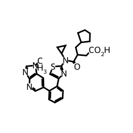 Cn1cnc2ncc(-c3ccccc3-c3csc(N(C(=O)C(CC(=O)O)CC4CCCC4)C4CC4)n3)cc21